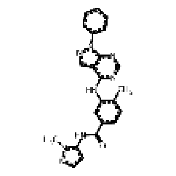 Cc1ccc(C(=O)Nc2ccnn2C)cc1Nc1ncnc2c1cnn2-c1ccccc1